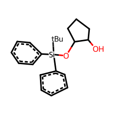 CC(C)(C)[Si](OC1CCCC1O)(c1ccccc1)c1ccccc1